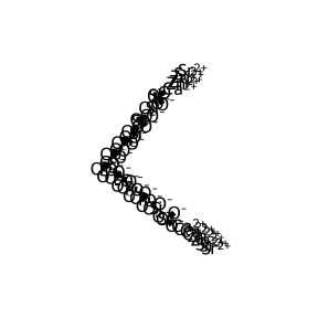 O=P([O-])([O-])[O-].O=P([O-])([O-])[O-].O=P([O-])([O-])[O-].O=P([O-])([O-])[O-].O=P([O-])([O-])[O-].O=P([O-])([O-])[O-].O=[Si]([O-])[O-].O=[Si]([O-])[O-].O=[Si]([O-])[O-].O=[Si]([O-])[O-].O=[Si]([O-])[O-].O=[Si]([O-])[O-].[Ca+2].[Ca+2].[Ca+2].[Ca+2].[Ca+2].[Sr+2].[Sr+2].[Sr+2].[Sr+2].[Sr+2].[Zn+2].[Zn+2].[Zn+2].[Zn+2].[Zn+2]